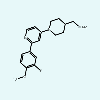 CC(=O)NCC1CCN(c2ccnc(-c3ccc(OC(F)(F)F)c(F)c3)c2)CC1